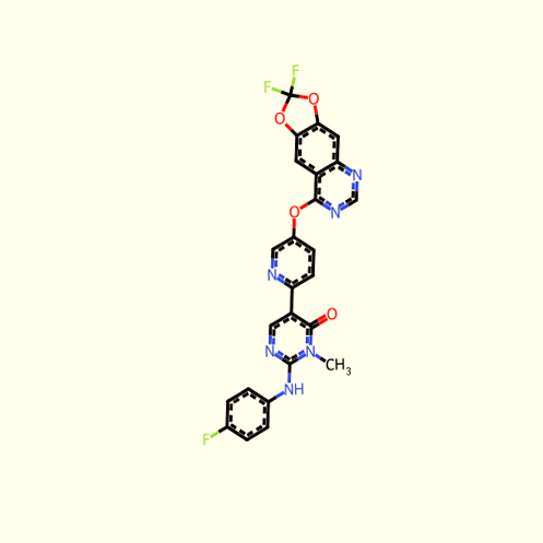 Cn1c(Nc2ccc(F)cc2)ncc(-c2ccc(Oc3ncnc4cc5c(cc34)OC(F)(F)O5)cn2)c1=O